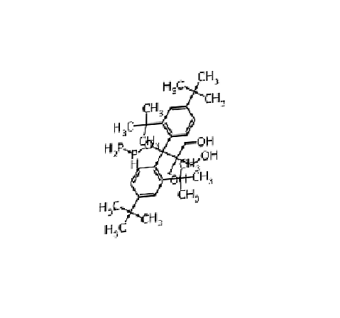 CC(C)(C)c1ccc(C(OPP)(c2ccc(C(C)(C)C)cc2C(C)(C)C)C(CO)(CO)CO)c(C(C)(C)C)c1